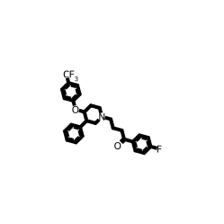 O=C(CCCN1CCC(Oc2ccc(C(F)(F)F)cc2)C(c2ccccc2)C1)c1ccc(F)cc1